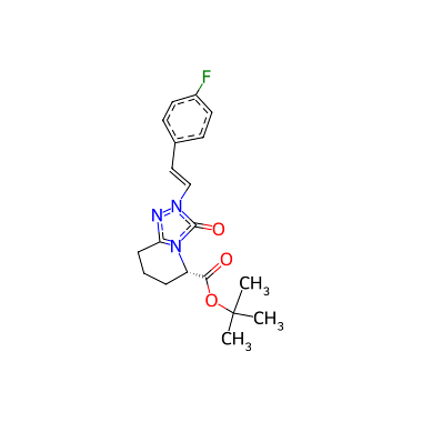 CC(C)(C)OC(=O)[C@@H]1CCCc2nn(/C=C/c3ccc(F)cc3)c(=O)n21